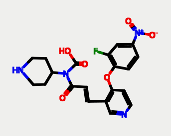 O=C(O)N(C(=O)C=Cc1cnccc1Oc1ccc([N+](=O)[O-])cc1F)C1CCNCC1